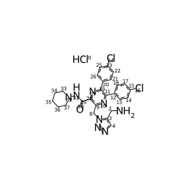 Cl.NCc1cnnn1Cc1nc(-c2ccc(Cl)cc2)c(-c2ccc(Cl)cc2)nc1C(=O)NN1CCCCC1